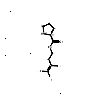 O=C(NCCC(F)=C(F)F)C1CCCN1